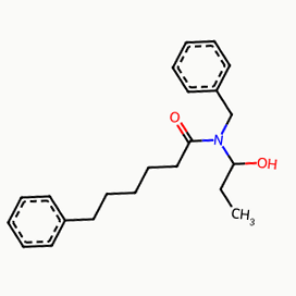 CCC(O)N(Cc1ccccc1)C(=O)CCCCCc1ccccc1